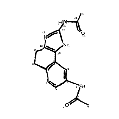 CC(=O)Nc1ccc2c(c1)-c1sc(NC(C)=O)nc1CC2